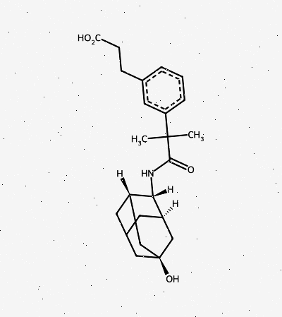 CC(C)(C(=O)N[C@@H]1[C@@H]2CC3C[C@H]1C[C@@](O)(C3)C2)c1cccc(CCC(=O)O)c1